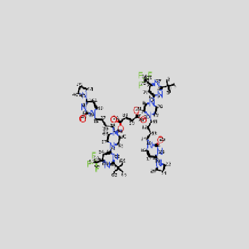 CC(C)(C)c1nc(N2CC[N+](CCCCn3ccc(N4CCC4)nc3=O)(OC(=O)/C=C/C(=O)O[N+]3(CCCCn4ccc(N5CCC5)nc4=O)CCN(c4cc(C(F)(F)F)nc(C(C)(C)C)n4)CC3)CC2)cc(C(F)(F)F)n1